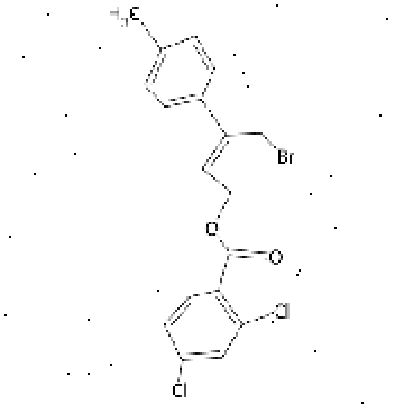 Cc1ccc(C(=CCOC(=O)c2ccc(Cl)cc2Cl)CBr)cc1